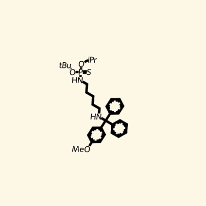 COc1ccc(C(NCCCCCNP(=S)(OC(C)C)OC(C)(C)C)(c2ccccc2)c2ccccc2)cc1